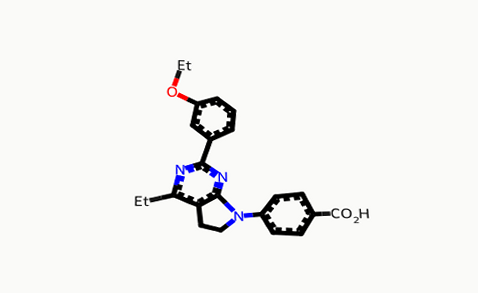 CCOc1cccc(-c2nc(CC)c3c(n2)N(c2ccc(C(=O)O)cc2)CC3)c1